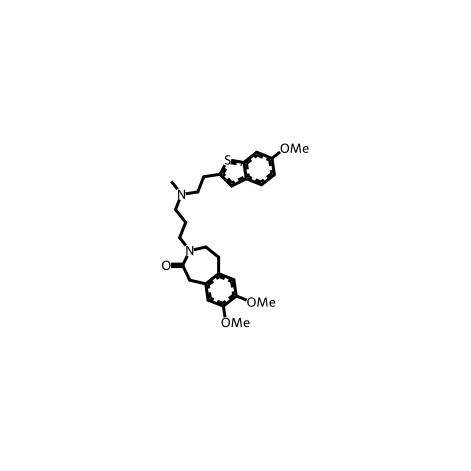 COc1ccc2cc(CCN(C)CCCN3CCc4cc(OC)c(OC)cc4CC3=O)sc2c1